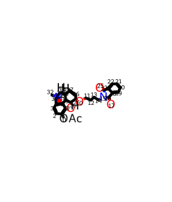 CC(=O)Oc1ccc2c3c1O[C@H]1[C@@H](OCCCCN4C(=O)c5ccccc5C4=O)C=C[C@H]4[C@@H](C2)N(C)CC[C@@]341